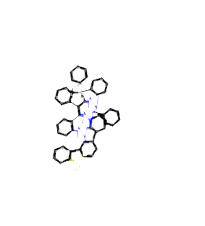 c1ccc(-c2nc(-c3ccccc3-n3c4ccccc4c4ccc5sc6ccccc6c5c43)c3c(n2)[Si](c2ccccc2)(c2ccccc2)c2ccccc2-3)cc1